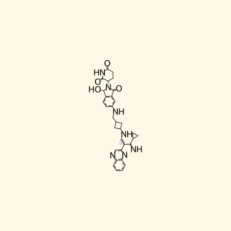 N=C(/C(=C\NC1CC(CNc2ccc3c(c2)C(=O)N(C2CCC(=O)NC2=O)C3O)C1)c1cnc2ccccc2n1)C1CC1